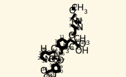 COCCn1cc(CO[C@H](c2ccc(C)c(CN(Cc3ccccn3)S(=O)(=O)c3cccc(C(=O)O)c3)c2)C(C)(C)C(=O)O)nn1